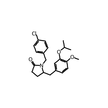 COc1ccc(CC2CCC(=O)N2Cc2ccc(Cl)cc2)cc1OC(C)C